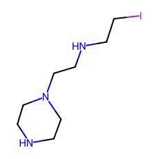 ICCNCCN1CCNCC1